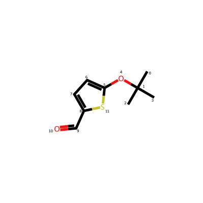 CC(C)(C)Oc1ccc(C=O)s1